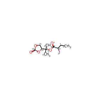 CCC(I)C(=O)OC(C)(C)C1COC(=O)O1